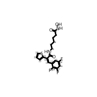 O=C(CCCCCNC(=O)/C(=C\c1cc(F)cc(F)c1F)c1cccs1)NO